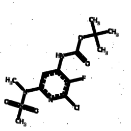 CN(c1cc(NC(=O)OC(C)(C)C)c(F)c(Cl)n1)S(C)(=O)=O